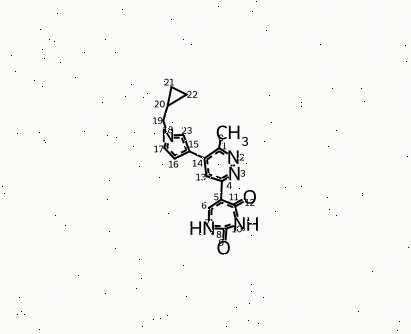 Cc1nnc(-c2c[nH]c(=O)[nH]c2=O)cc1-c1ccn(CC2CC2)c1